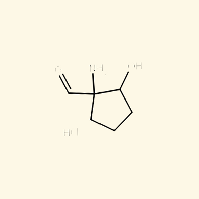 Cl.NC1(C=O)CCCC1O